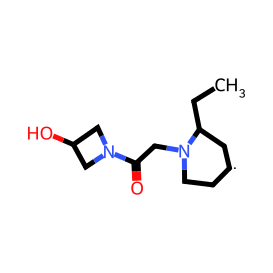 CCC1C[CH]CCN1CC(=O)N1CC(O)C1